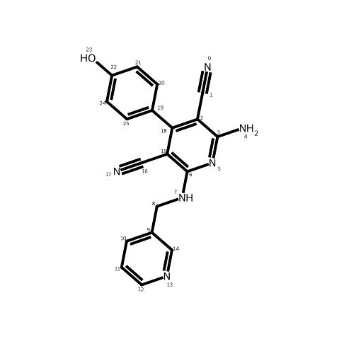 N#Cc1c(N)nc(NCc2cccnc2)c(C#N)c1-c1ccc(O)cc1